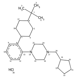 CC(C)(C)C1CCC(c2ccccc2N2CCN(CC3CCCC3)CC2)CC1.Cl